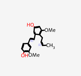 C/C=C\Cc1c(/C=C/c2ccc(O)c(OC)c2)cc(O)cc1OC